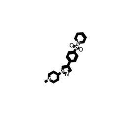 CN1CCC(n2cc(-c3ccc(S(=O)(=O)N4CC=CCC4)cc3)cn2)CC1